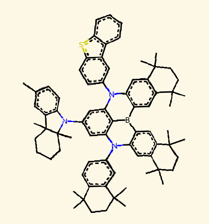 Cc1ccc2c(c1)C1(C)CCCCC1(C)N2c1cc2c3c(c1)N(c1ccc4sc5ccccc5c4c1)c1cc4c(cc1B3c1cc3c(cc1N2c1ccc2c(c1)C(C)(C)CCC2(C)C)C(C)(C)CCC3(C)C)C(C)(C)CCC4(C)C